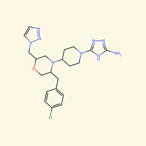 Nc1nnc(N2CCC(N3CC(Cn4ccnn4)OCC3Cc3ccc(Cl)cc3)CC2)[nH]1